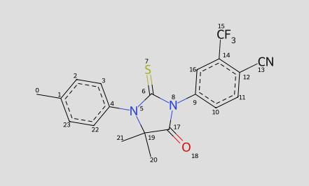 Cc1ccc(N2C(=S)N(c3ccc(C#N)c(C(F)(F)F)c3)C(=O)C2(C)C)cc1